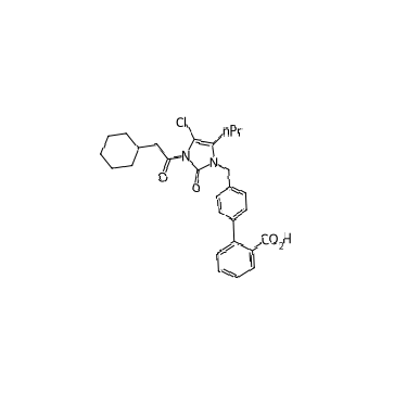 CCCc1c(Cl)n(C(=O)CC2CCCCC2)c(=O)n1Cc1ccc(-c2ccccc2C(=O)O)cc1